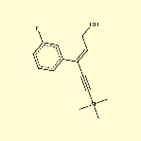 C[Si](C)(C)C#C/C(=C/CO)c1cccc(F)c1